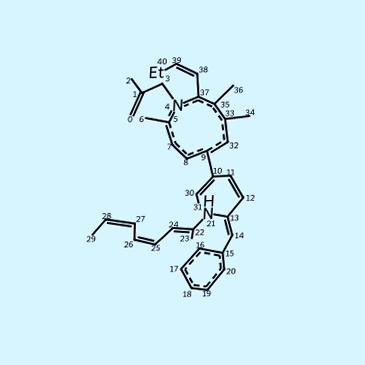 C=C(C)Cn1c(C)ccc(C(/C=C\C(=C\c2ccccc2)N/C(C)=C/C=C\C=C/C)=C/C)cc(C)c(C)c1/C=C\CC